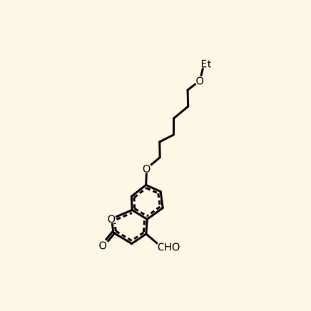 CCOCCCCCCOc1ccc2c(C=O)cc(=O)oc2c1